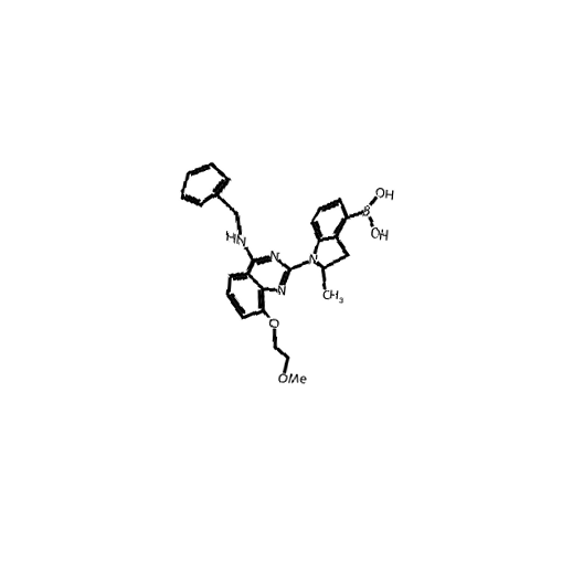 COCCOc1cccc2c(NCc3ccccc3)nc(N3c4cccc(B(O)O)c4CC3C)nc12